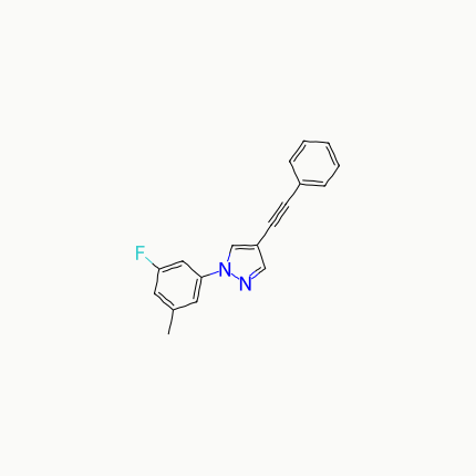 Cc1cc(F)cc(-n2cc(C#Cc3ccccc3)cn2)c1